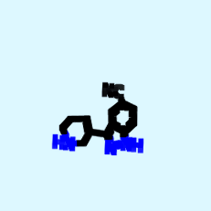 N#Cc1ccc2[nH]nc(C3=CCCNC3)c2c1